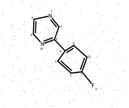 Fc1ccc(-c2[c]nccn2)cc1